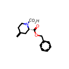 C=C1CCN(C(=O)O)[C@H](C(=O)OCc2ccccc2)C1